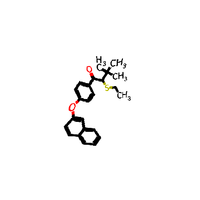 CCSC(C(=O)c1ccc(Oc2ccc3ccccc3c2)cc1)C(C)(C)C